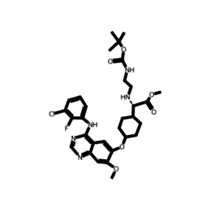 COC(=O)[C@@H](NCCNC(=O)OC(C)(C)C)C1CCC(Oc2cc3c(Nc4cccc(Cl)c4F)ncnc3cc2OC)CC1